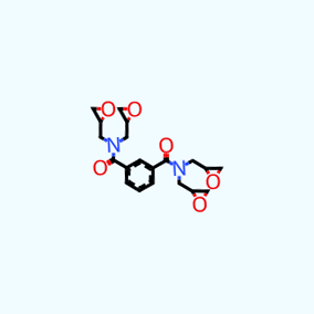 O=C(c1cccc(C(=O)N(CC2CO2)CC2CO2)c1)N(CC1CO1)CC1CO1